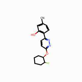 N#Cc1ccc(-c2ccc(O[C@@H]3CCCC[C@@H]3F)nn2)c(O)c1